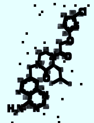 CC(C)C[C@H]1C(=O)N(Cc2ccc3c(N)ncnc3c2)CCN1C(=O)COc1ccc(Cl)s1